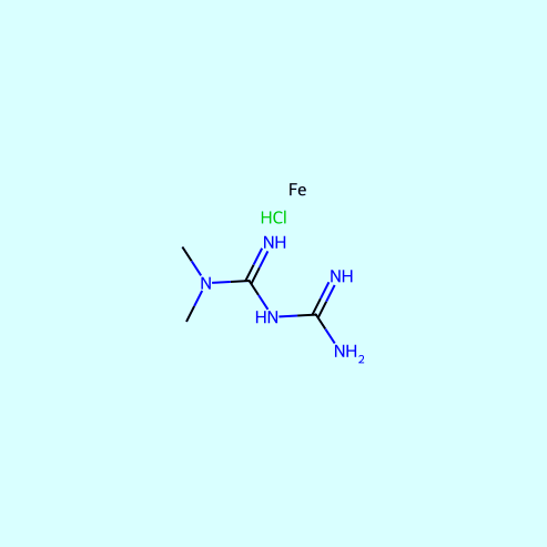 CN(C)C(=N)NC(=N)N.Cl.[Fe]